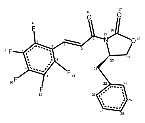 O=C(/C=C/c1c(F)c(F)c(F)c(F)c1F)N1C(=O)OC[C@H]1Cc1ccccc1